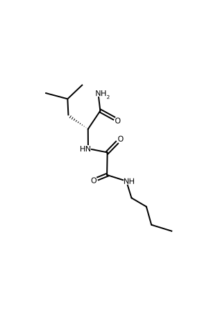 CCCCNC(=O)C(=O)N[C@H](CC(C)C)C(N)=O